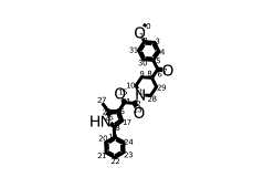 COc1ccc(C(=O)C2CCN(C(=O)C(=O)c3cc(-c4ccccc4)[nH]c3C)CC2)cc1